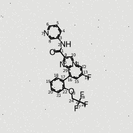 O=C(Nc1cccnc1)c1cn2cc(F)cc(-c3ccccc3OCC(F)(F)F)c2n1